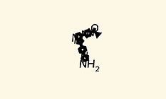 N[C@H]1CCN(c2ccc(-c3cc4c(N5CCN(C(=O)C6CC6)CC5)ccnn4c3)cc2)C1